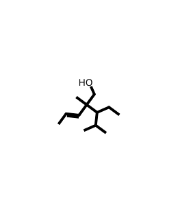 C/C=C/C(C)(CO)C(CC)C(C)C